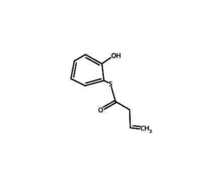 C=CCC(=O)Sc1ccccc1O